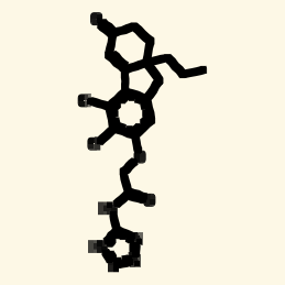 CCCC12CCC(=O)C=C1c1c(cc(OCC(=O)Nc3nnn[nH]3)c(Cl)c1Cl)C2